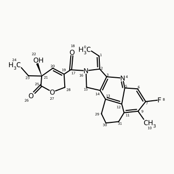 C/C=C1/c2nc3cc(F)c(C)c4c3c(c2CN1C(=O)C1=C[C@@](O)(CC)C(=O)OC1)CCC4